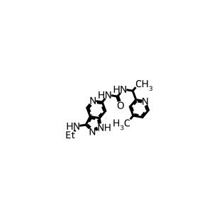 CCNc1n[nH]c2cc(NC(=O)NC(C)c3cc(C)ccn3)ncc12